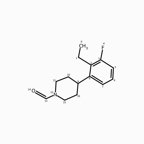 CCc1c(F)cccc1C1CCN(C=O)CC1